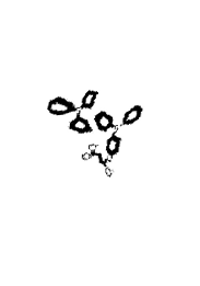 O=C([O-])/C=C/C(=O)[O-].c1ccc([S+](c2ccccc2)c2ccccc2)cc1.c1ccc([S+](c2ccccc2)c2ccccc2)cc1